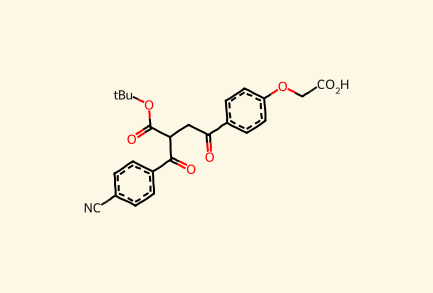 CC(C)(C)OC(=O)C(CC(=O)c1ccc(OCC(=O)O)cc1)C(=O)c1ccc(C#N)cc1